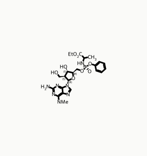 CCOC(=O)C(C)N[P@@](=O)(OC[C@H]1O[C@@H](n2cnc3c(NC)nc(N)nc32)[C@@H](CO)[C@@H]1O)Oc1ccccc1